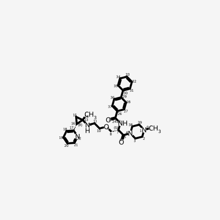 CN1CCN(C(=O)[C@H](COCCNC2(C)C[C@H]2c2ccccn2)NC(=O)c2ccc(-c3ccccc3)cc2)CC1